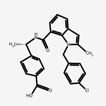 Cc1cc2cccc(C(=O)N[C@@H](C)c3ccc(C(=O)O)cc3)c2n1Cc1ccc(Cl)cc1